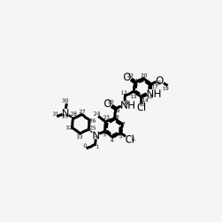 CCN(c1cc(Cl)cc(C(=O)NCc2c(Cl)[nH]c(OC)cc2=O)c1C)[C@H]1CC[C@H](N(C)C)CC1